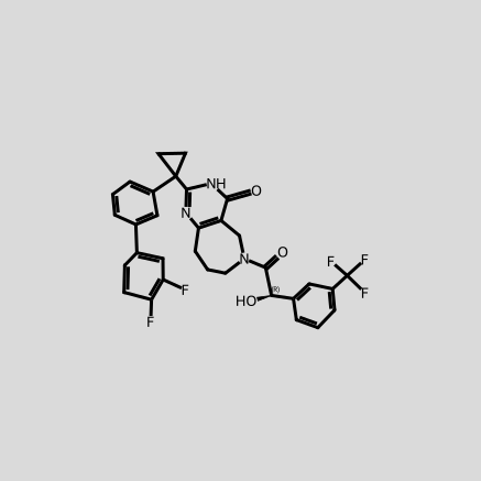 O=C([C@H](O)c1cccc(C(F)(F)F)c1)N1CCCc2nc(C3(c4cccc(-c5ccc(F)c(F)c5)c4)CC3)[nH]c(=O)c2C1